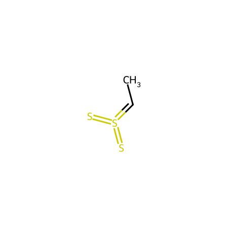 CC=S(=S)=S